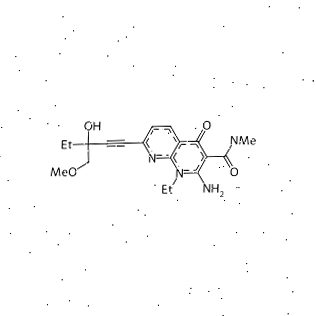 CCn1c(N)c(C(=O)NC)c(=O)c2ccc(C#CC(O)(CC)COC)nc21